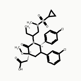 CCC(CN(C)S(=O)(=O)C1CC1)N1C(=O)[C@](CC(=O)O)(OC)CC(c2cccc(Cl)c2)[C@H]1c1ccc(Cl)cc1